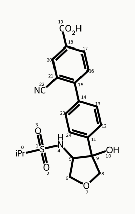 CC(C)S(=O)(=O)NC1COCC1(O)c1ccc(-c2ccc(C(=O)O)cc2C#N)cc1